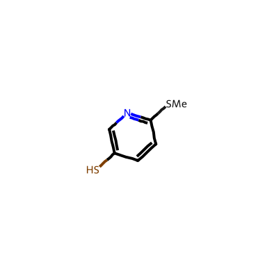 CSc1ccc(S)cn1